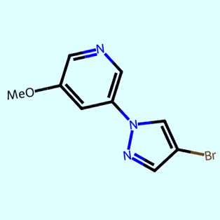 COc1cncc(-n2cc(Br)cn2)c1